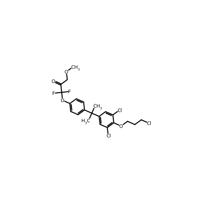 COCC(=O)C(F)(F)Oc1ccc(C(C)(C)c2cc(Cl)c(OCCCCl)c(Cl)c2)cc1